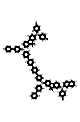 Cc1ccc(N(c2ccc(C)cc2)c2ccc3c(c2)C(C)(C)c2cc(N(c4ccc(-c5ccccc5)cc4)c4ccc(-c5ccc(-c6ccc(-c7ccc(N(c8ccc(-c9ccccc9)cc8)c8ccc9c(c8)C(C)(C)c8cc(N(c%10ccc(C)cc%10)c%10ccc%11ccccc%11c%10)ccc8-9)cc7)cc6)cc5)cc4)ccc2-3)cc1